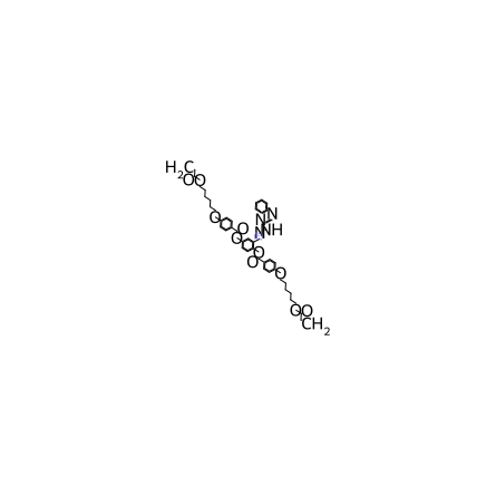 C=CC(=O)OCCCCCCOc1ccc(C(=O)Oc2ccc(OC(=O)c3ccc(OCCCCCCOC(=O)C=C)cc3)c(/C=N/Nc3cnc4ccccc4n3)c2)cc1